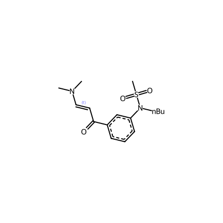 CCCCN(c1cccc(C(=O)/C=C/N(C)C)c1)S(C)(=O)=O